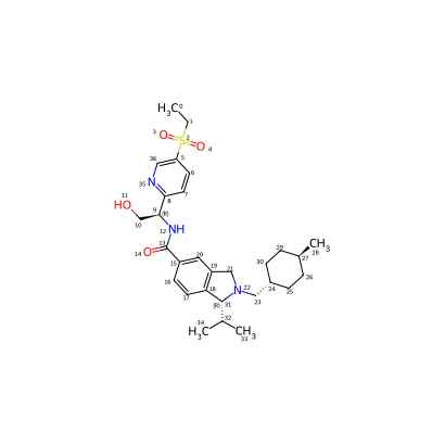 CCS(=O)(=O)c1ccc([C@H](CO)NC(=O)c2ccc3c(c2)CN(C[C@H]2CC[C@H](C)CC2)[C@@H]3C(C)C)nc1